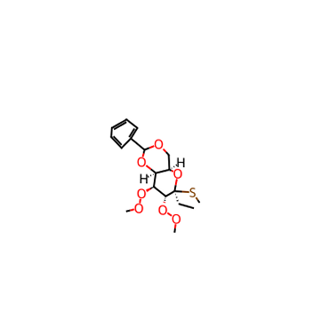 CC[C@@]1(SC)O[C@@H]2COC(c3ccccc3)O[C@@H]2[C@H](OOC)[C@H]1OOC